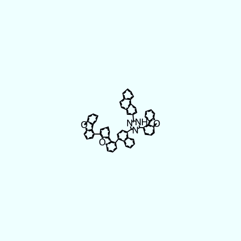 c1ccc2c(c1)ccc1cc(C3=NC(c4ccc(-c5cccc6oc7c(-c8cccc9oc%10ccccc%10c89)cccc7c56)c5ccccc45)=NC(c4cccc5oc6ccccc6c45)N3)ccc12